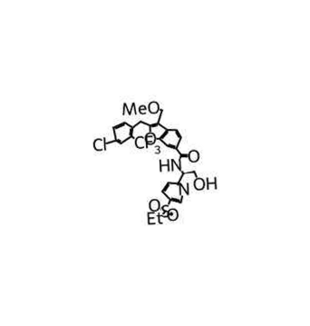 CCS(=O)(=O)c1ccc([C@H](CO)NC(=O)c2ccc3c(COC)c(Cc4ccc(Cl)cc4C(F)(F)F)oc3c2)nc1